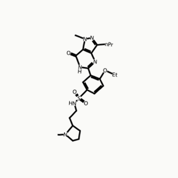 CCCc1nn(C)c2c(=O)[nH]c(-c3cc(S(=O)(=O)NCCC4CCCN4C)ccc3OCC)nc12